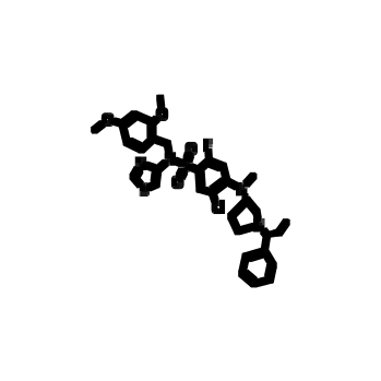 CC[C@@H](c1ccccc1)N1CC[C@H](N(C)c2cc(F)c(S(=O)(=O)N(Cc3ccc(OC)cc3OC)c3cscn3)cc2Cl)C1